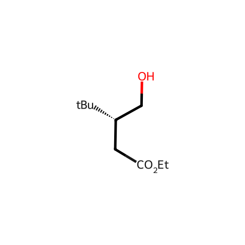 CCOC(=O)C[C@@H](CO)C(C)(C)C